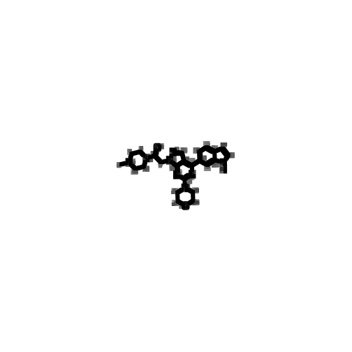 CN1CCN(C(=O)Cn2ncc3c(-c4ccc5cc[nH]c5c4)nc(N4CCOCC4)nc32)CC1